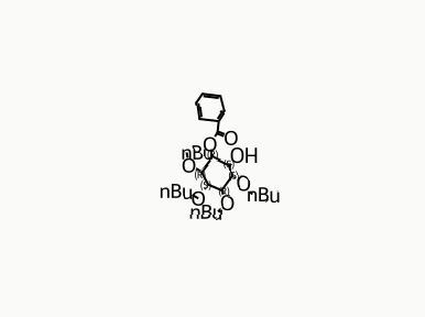 CCCCO[C@@H]1[C@@H](OCCCC)[C@H](OC(=O)c2ccccc2)[C@@H](O)[C@H](OCCCC)[C@H]1OCCCC